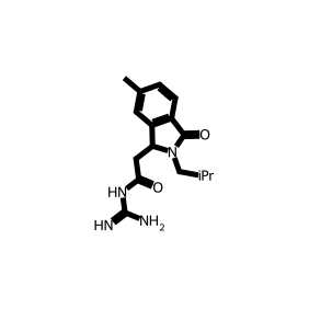 Cc1ccc2c(c1)C(CC(=O)NC(=N)N)N(CC(C)C)C2=O